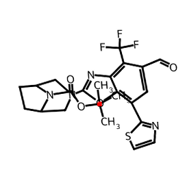 CC(C)(C)OC(=O)N1C2CCC1CN(c1nc3c(C(F)(F)F)c(C=O)cc(-c4nccs4)c3o1)C2